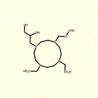 O=COCN1CCN(CC(=O)O)CCN(CC(=O)O)CCN(CC(O)CO)CC1